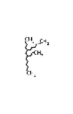 CCCCCCC([CH]C(CCCC)CCCCCC)CCC